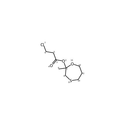 CC1(OC(=O)CCCl)CSCCCO1